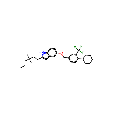 CCCC(C)(C)CCc1cc2cc(OCc3ccc(C4CCCCC4)c(C(F)(F)F)c3)ccc2[nH]1